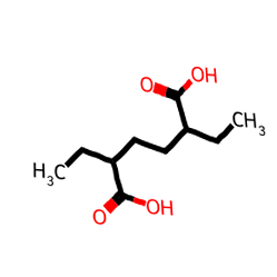 CCC(CCC(CC)C(=O)O)C(=O)O